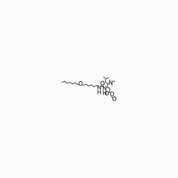 CCCCCCCOCCCCCCNC(=O)NC(CC(=O)OC=O)C(CC(C)C)[N+](C)(C)C